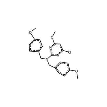 COc1ccc(CN(Cc2ccc(OC)cc2)c2nc(Cl)cc(OC)n2)cc1